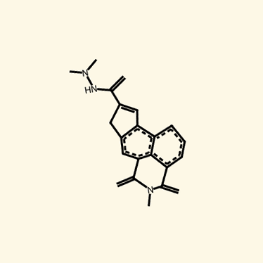 C=C(NN(C)C)C1=Cc2c(cc3c4c(cccc24)C(=C)N(C)C3=C)C1